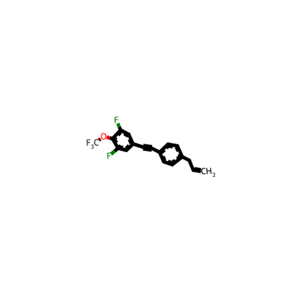 C=CCc1ccc(C#Cc2cc(F)c(OC(F)(F)F)c(F)c2)cc1